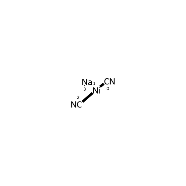 N#[C][Ni][C]#N.[Na]